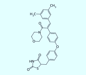 Cc1cc(C)cc(/C=C(\C(=O)N2CCOCC2)c2ccc(Oc3ccc(CC4SC(=O)NC4=O)cc3)cc2)c1